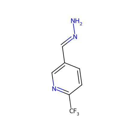 NN=Cc1ccc(C(F)(F)F)nc1